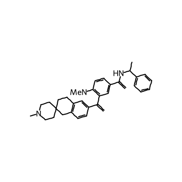 C=C(NC(C)c1ccccc1)c1ccc(NC)c(C(=C)c2ccc3c(c2)CCC2(CCN(C)CC2)C3)c1